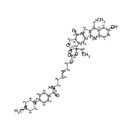 CCc1c2c(nc3ccc(O)cc13)-c1cc3c(c(=O)n1C2)COC(=O)[C@@]3(CC)OC(=O)OCCSSCCNC(=O)c1ccc(N2CCN(C)CC2)cc1